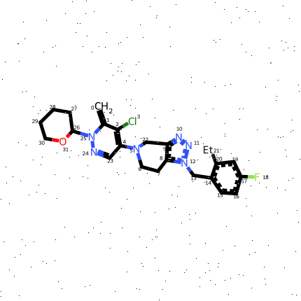 C=C1C(Cl)=C(N2CCc3c(nnn3Cc3ccc(F)cc3CC)C2)C=NN1C1CCCCO1